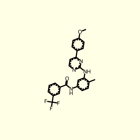 COc1ccc(-c2ccnc(Nc3cc(NC(=O)c4cccc(C(F)(F)F)c4)ccc3C)n2)cc1